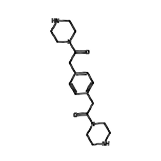 O=C(Cc1ccc(CC(=O)N2CCNCC2)cc1)N1CCNCC1